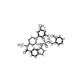 Cc1cc(N2CCC(N(C)C(=O)c3ccc4c(c3)C(NS(=O)(=O)CCc3ccccc3Cl)CC4)CC2)cc(C)n1